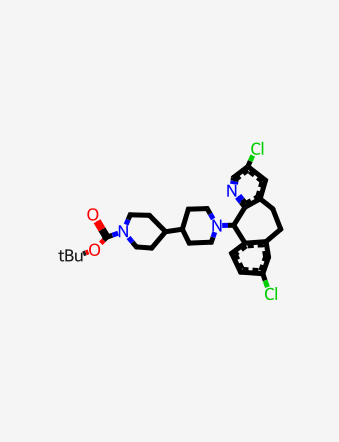 CC(C)(C)OC(=O)N1CCC(C2CCN(C3c4ccc(Cl)cc4CCc4cc(Cl)cnc43)CC2)CC1